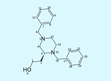 OCC[C@H]1CN(Cc2ccccc2)CCN1Cc1ccccc1